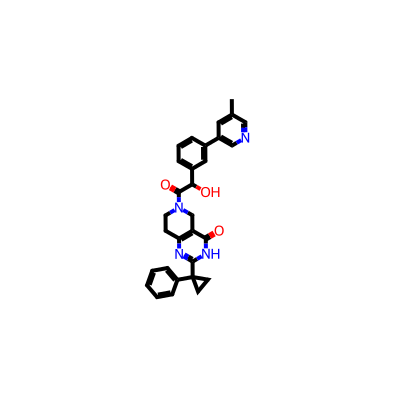 Cc1cncc(-c2cccc(C(O)C(=O)N3CCc4nc(C5(c6ccccc6)CC5)[nH]c(=O)c4C3)c2)c1